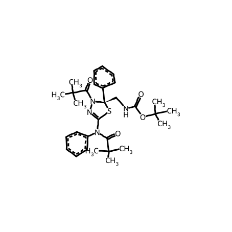 CC(C)(C)OC(=O)NC[C@@]1(c2ccccc2)SC(N(C(=O)C(C)(C)C)c2ccccc2)=NN1C(=O)C(C)(C)C